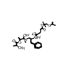 CC(C)OCC(C)(C)OC(=O)CCC(=O)NC(Cc1ccccc1)CN(C)C(O)C(C)OC(=O)C(C)O